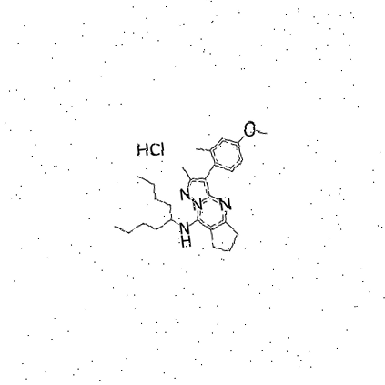 CCCCC(CCCC)Nc1c2c(nc3c(-c4ccc(OC)cc4C)c(C)nn13)CCC2.Cl